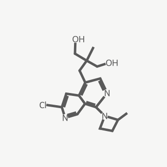 CC1CCN1c1ncc(CC(C)(CO)CO)c2cc(Cl)ncc12